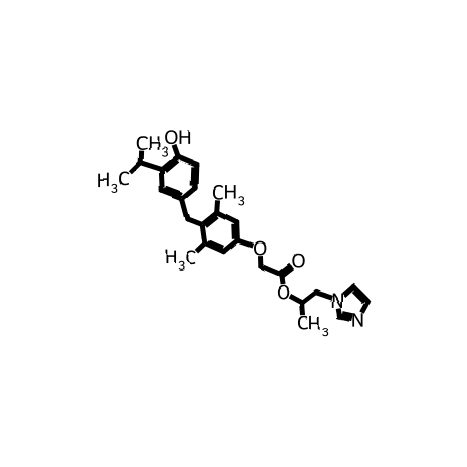 Cc1cc(OCC(=O)OC(C)Cn2ccnc2)cc(C)c1Cc1ccc(O)c(C(C)C)c1